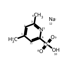 Cc1cc(C)nc(S(=O)(=O)O)c1.[Na]